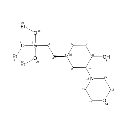 CCO[Si](CC[C@H]1CCC(O)C(N2CCOCC2)C1)(OCC)OCC